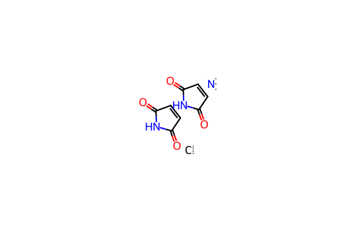 O=C1C=CC(=O)N1.O=C1C=CC(=O)N1.[C].[N]